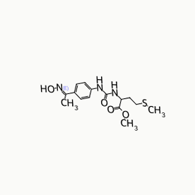 COC(=O)C(CCSC)NC(=O)Nc1ccc(/C(C)=N/O)cc1